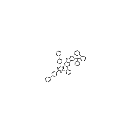 c1ccc(-c2ccc(-c3nc(-c4ccc(-c5ccccc5)cc4)nc(-c4ccccc4-c4ccc5sc6ccc(C7(c8ccccc8)c8ccccc8-c8ccccc87)cc6c5c4)n3)cc2)cc1